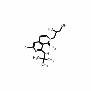 C=C1c2c(cc(Cl)nc2NC(C)(C)C)C=CN1CC(O)CO